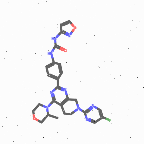 CC1COCCN1c1nc(-c2ccc(NC(=O)Nc3ccon3)cc2)nc2c1CCN(c1ncc(F)cn1)C2